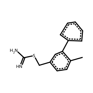 Cc1ccc(CSC(=N)N)cc1-c1ccccc1